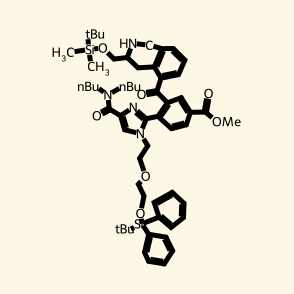 CCCCN(CCCC)C(=O)c1cn(CCOCCO[Si](c2ccccc2)(c2ccccc2)C(C)(C)C)c(-c2ccc(C(=O)OC)cc2C(=O)c2cccc3c2CC(CO[Si](C)(C)C(C)(C)C)NC3)n1